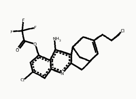 Nc1c2c(nc3cc(Cl)cc(OC(=O)C(F)(F)F)c13)CC1C=C(CCCl)CC2C1